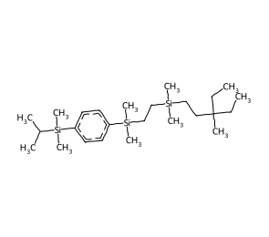 CCC(C)(CC)CC[Si](C)(C)CC[Si](C)(C)c1ccc([Si](C)(C)C(C)C)cc1